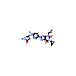 CCCn1c(=O)n(C2CC2)c(=O)c2[nH]c(-c3ccc(N(C)C4CC(=O)N(C)C4)nc3)nc21